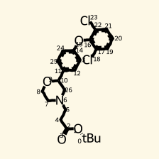 CC(C)(C)OC(=O)CCN1CCOC(c2ccc(Oc3c(Cl)cccc3Cl)cc2)C1